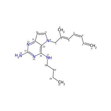 C=C/C=C\C=C(/C)Cn1ccc2nc(N)nc(NCCCC)c21